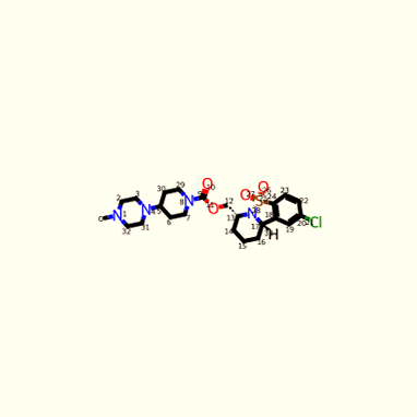 CN1CCN(C2CCN(C(=O)OC[C@H]3CCC[C@H]4c5cc(Cl)ccc5S(=O)(=O)N34)CC2)CC1